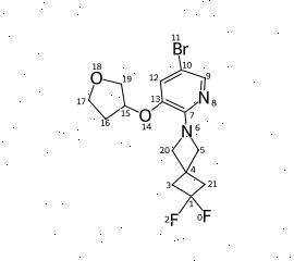 FC1(F)CC2(CN(c3ncc(Br)cc3OC3CCOC3)C2)C1